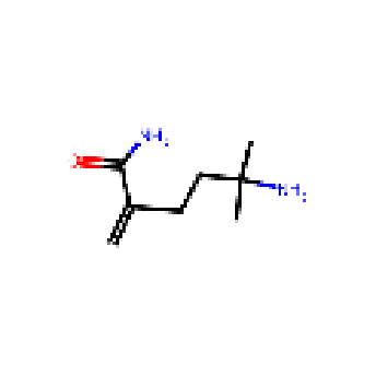 C=C(CCC(C)(C)N)C(N)=O